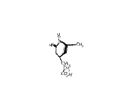 CC(=O)O.CC1CC(=N)NC(C)C1